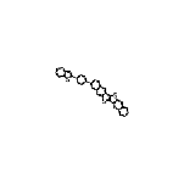 c1ccc2cc3c(cc2c1)sc1c2cc4ccc(-c5ccc(-c6cc7ccccc7s6)cc5)cc4cc2sc31